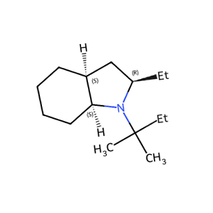 CC[C@@H]1C[C@@H]2CCCC[C@@H]2N1C(C)(C)CC